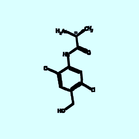 C[C@H]([AsH2])C(=O)Nc1cc(Cl)c(CO)cc1Cl